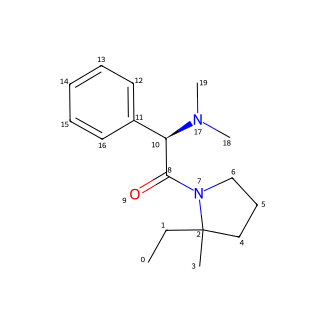 CCC1(C)CCCN1C(=O)[C@@H](c1ccccc1)N(C)C